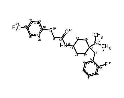 CN(C)C1(Cc2ccccc2F)CCC(NC(=O)CSc2ccc(C(F)(F)F)cn2)CC1